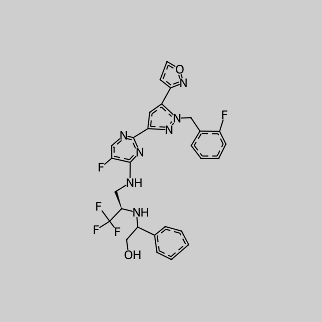 OCC(N[C@H](CNc1nc(-c2cc(-c3ccon3)n(Cc3ccccc3F)n2)ncc1F)C(F)(F)F)c1ccccc1